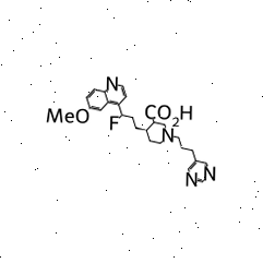 COc1ccc2nccc(C(F)CC[C@@H]3CCN(CCCc4cncnc4)C[C@@H]3C(=O)O)c2c1